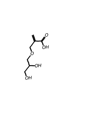 C=C(COCC(O)CO)C(=O)O